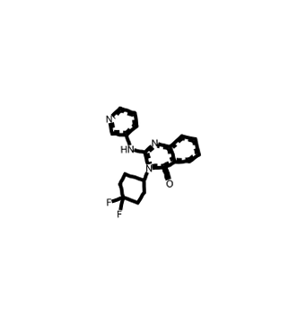 O=c1c2ccccc2nc(Nc2cccnc2)n1C1CCC(F)(F)CC1